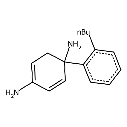 CCCCc1ccccc1C1(N)C=CC(N)=CC1